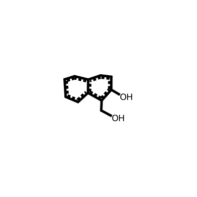 OCc1c(O)ccc2ccccc12